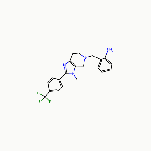 Cn1c(-c2ccc(C(F)(F)F)cc2)nc2c1CN(Cc1ccccc1N)CC2